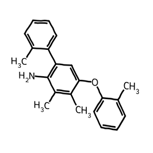 Cc1ccccc1Oc1cc(-c2ccccc2C)c(N)c(C)c1C